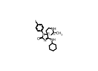 C[C@H]1C[C@]2(CCN1)C(NC1CCCCC1)=NC(=O)N2c1ccc(I)cc1